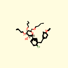 CCCCOC[C@H]1O[C@@H](c2ccc(Cl)c(Cc3ccc(OCC)cc3)c2)[C@H](O)[C@@H](OCCCC)[C@@H]1OCCCC